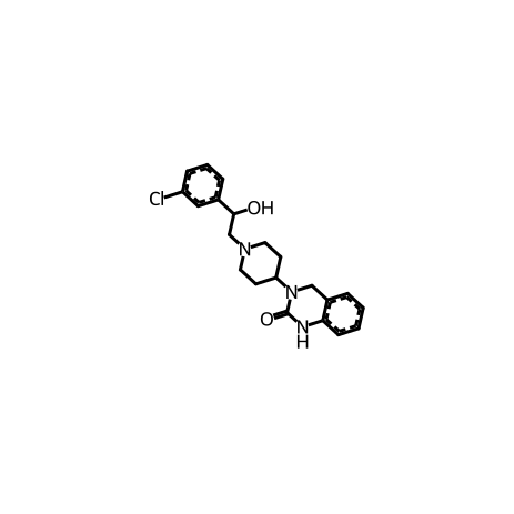 O=C1Nc2ccccc2CN1C1CCN(CC(O)c2cccc(Cl)c2)CC1